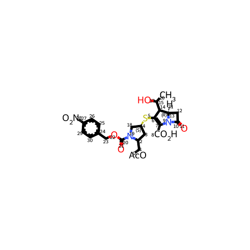 CC(=O)OCC1C[C@H](SC2=C(C(=O)O)N3C(=O)C[C@@H]3C2C(C)O)CN1C(=O)OCc1ccc([N+](=O)[O-])cc1